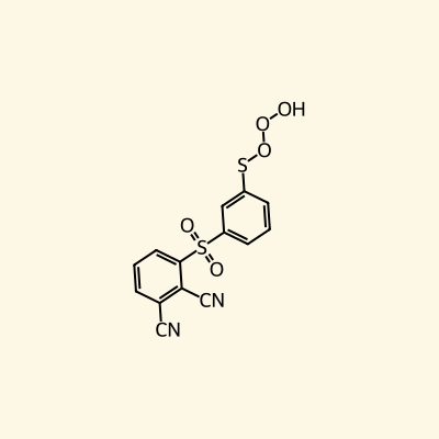 N#Cc1cccc(S(=O)(=O)c2cccc(SOOO)c2)c1C#N